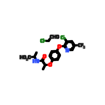 CC(NC(=O)C(C)Oc1ccc(Oc2ncc(C(F)(F)F)cc2Cl)cc1)C(=O)O.O=CCCl